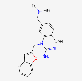 CCN(Cc1ccc(OC)c(N(Cc2cc3ccccc3o2)C(=N)N)c1)C(C)C